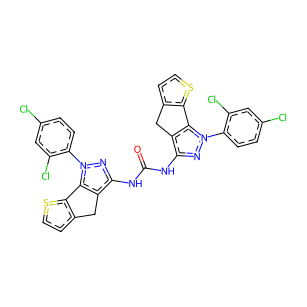 O=C(Nc1nn(-c2ccc(Cl)cc2Cl)c2c1Cc1ccsc1-2)Nc1nn(-c2ccc(Cl)cc2Cl)c2c1Cc1ccsc1-2